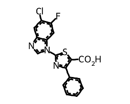 O=C(O)c1sc(-n2cnc3cc(Cl)c(F)cc32)nc1-c1ccccc1